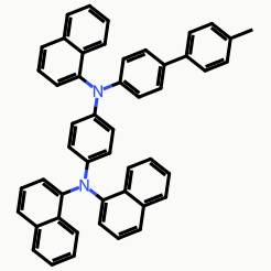 Cc1ccc(-c2ccc(N(c3ccc(N(c4cccc5ccccc45)c4cccc5ccccc45)cc3)c3cccc4ccccc34)cc2)cc1